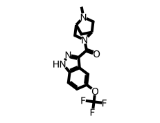 CN1CC2CC1CN2C(=O)c1n[nH]c2ccc(OC(F)(F)F)cc12